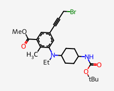 CCN(c1cc(C#CCBr)cc(C(=O)OC)c1C)C1CCC(NC(=O)OC(C)(C)C)CC1